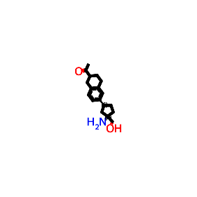 CC(=O)C1CCc2cc([C@H]3CC[C@](N)(CO)C3)ccc2C1